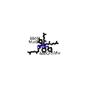 COc1ccc(CN[C@@H]2CCCC[C@H]2N(Cc2ccc(OC)c(OC)c2)C(/C=C(\C)CCC=C(C)C)(CC=C(C)CCC=C(C)CCC=C(C)C)C/C=C(\C)CCC=C(C)C)cc1OC